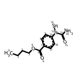 CCCCOC(=O)c1ccc(N(S)C(N)=O)cc1